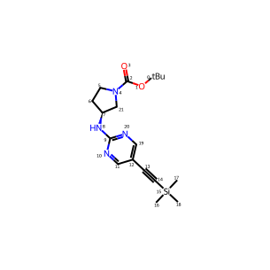 CC(C)(C)OC(=O)N1CC[C@H](Nc2ncc(C#C[Si](C)(C)C)cn2)C1